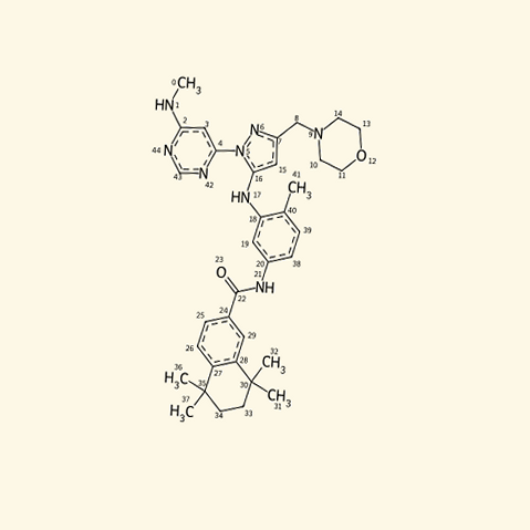 CNc1cc(-n2nc(CN3CCOCC3)cc2Nc2cc(NC(=O)c3ccc4c(c3)C(C)(C)CCC4(C)C)ccc2C)ncn1